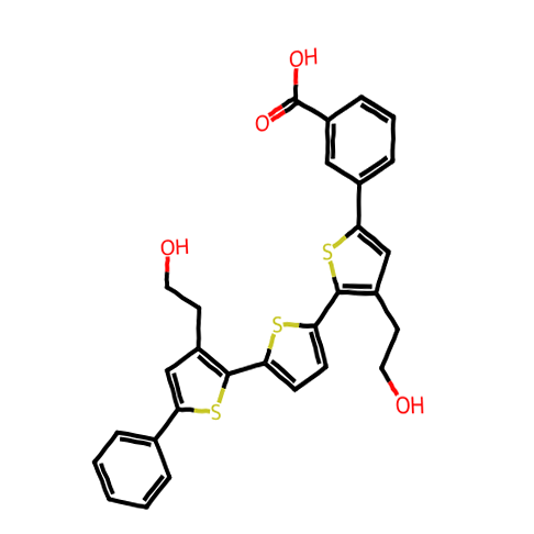 O=C(O)c1cccc(-c2cc(CCO)c(-c3ccc(-c4sc(-c5ccccc5)cc4CCO)s3)s2)c1